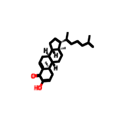 CC(C)CCCC(C)[C@H]1CC[C@H]2[C@@H]3CC=C4C(=O)C(O)=CC[C@]4(C)[C@H]3CC[C@]12C